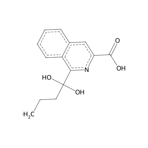 [CH2]CCC(O)(O)c1nc(C(=O)O)cc2ccccc12